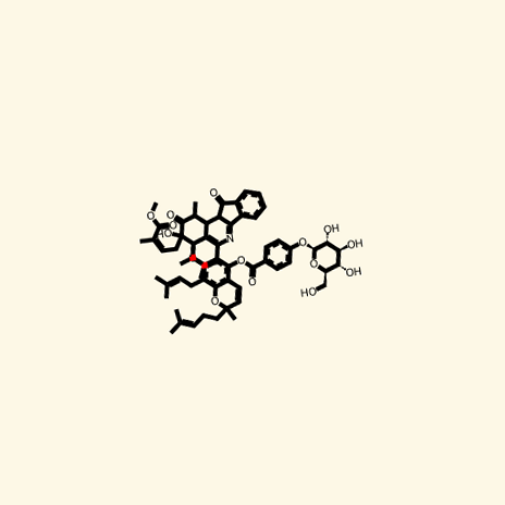 COC(=O)/C(C)=C\CC1(O)C(=O)C(C)C2C3=C(N=C4c5ccccc5C(=O)C42)c2c(OC(=O)c4ccc(O[C@@H]5O[C@H](CO)[C@@H](O)[C@H](O)[C@H]5O)cc4)c4c(c(CC=C(C)C)c2OC31C(C)C(C)C)OC(C)(CCC=C(C)C)C=C4